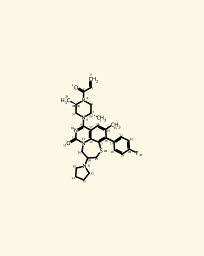 C=CC(=O)N1C[C@H](C)N(c2nc(=O)n3c4c(c(-c5ccc(F)cc5)c(C)cc24)SCC(N2CCCC2)C3)C[C@H]1C